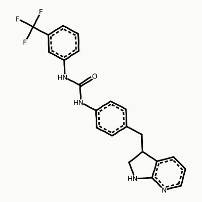 O=C(Nc1ccc(CC2CNc3ncccc32)cc1)Nc1cccc(C(F)(F)F)c1